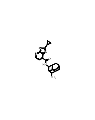 NC1C2CC3CC(C2)C(NC(=O)c2ccnc4[nH]c(C5CC5)nc24)C1C3